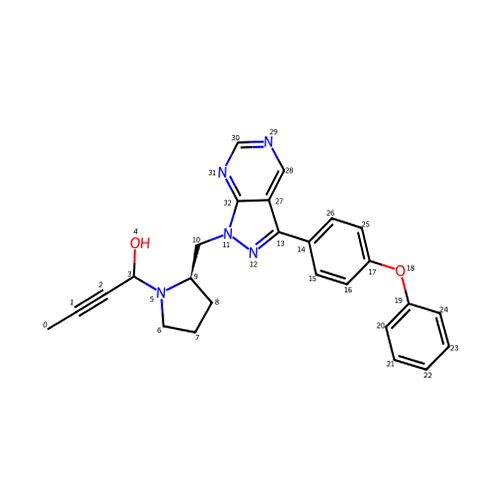 CC#CC(O)N1CCC[C@@H]1Cn1nc(-c2ccc(Oc3ccccc3)cc2)c2cncnc21